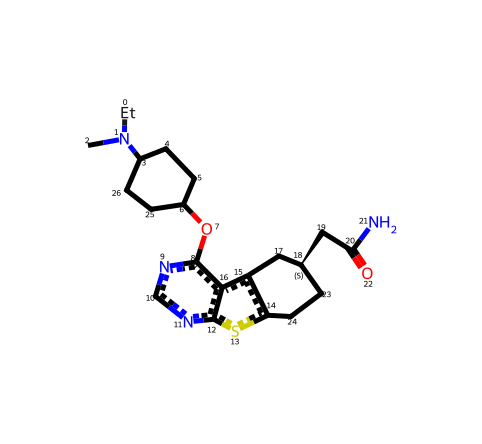 CCN(C)C1CCC(Oc2ncnc3sc4c(c23)C[C@@H](CC(N)=O)CC4)CC1